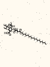 CCCCCCCCCCCCCCCCCCOC(=O)/C=C/C(=O)N[C@@H]1CC(C(=O)O)=C[C@@H](OC(CC)CC)[C@H]1NC(C)=O